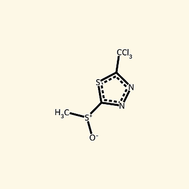 C[S+]([O-])c1nnc(C(Cl)(Cl)Cl)s1